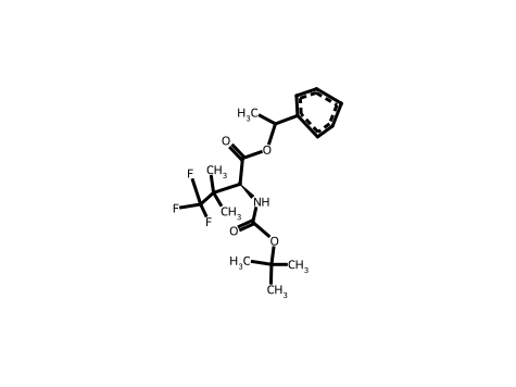 CC(OC(=O)[C@@H](NC(=O)OC(C)(C)C)C(C)(C)C(F)(F)F)c1ccccc1